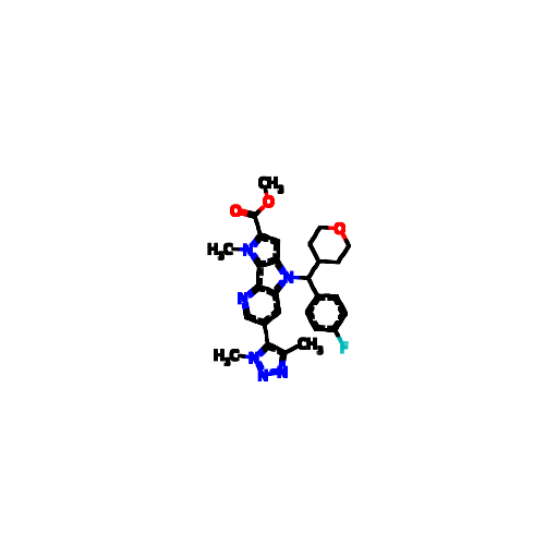 COC(=O)c1cc2c(c3ncc(-c4c(C)nnn4C)cc3n2C(c2ccc(F)cc2)C2CCOCC2)n1C